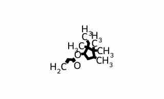 C=CC(=O)OC1CC(C)C(C)(C)C1(C)CC